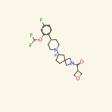 O=C(C1COC1)N1CC2(CC[C@@H](N3CCC(c4ccc(F)cc4OC(F)F)CC3)C2)C1